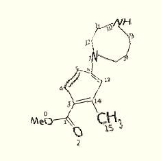 COC(=O)c1ccc(N2CCNCC2)cc1C